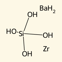 O[Si](O)(O)O.[BaH2].[Zr]